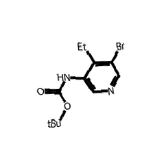 CCc1c(Br)cncc1NC(=O)OC(C)(C)C